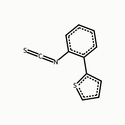 S=C=Nc1ccccc1-c1cccs1